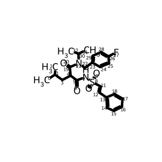 CC(C)CC(C(=O)NS(=O)(=O)/C=C/c1ccccc1)C(=O)N(Cc1ccc(F)cc1)C(C)C